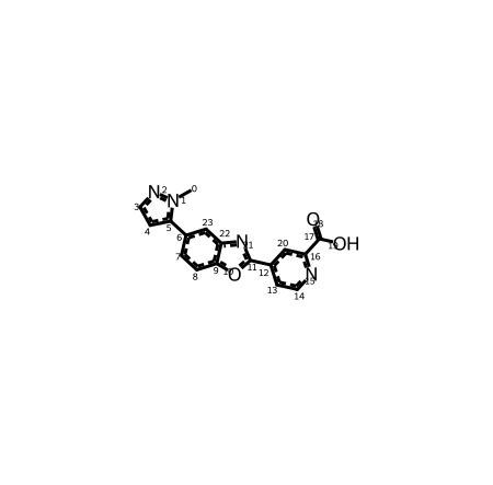 Cn1nccc1-c1ccc2oc(-c3ccnc(C(=O)O)c3)nc2c1